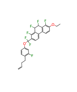 C=CCCc1ccc(OC(F)(F)c2ccc3c(c2F)C(F)C(F)c2c-3ccc(OCC)c2F)cc1F